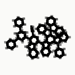 N#Cc1cc(-n2c3ccccc3c3c2c2c(c4c5ccccc5n(-c5ccccc5)c43)C3(c4ccccc4-c4ccccc43)c3ccccc3-2)c2c(oc3ccccc32)c1-c1nc(-c2ccccc2)nc(-c2ccccc2)n1